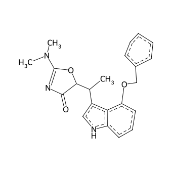 CC(c1c[nH]c2cccc(OCc3ccccc3)c12)C1OC(N(C)C)=NC1=O